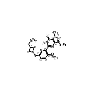 CCCc1nn(C)c2c(=O)[nH]c(-c3cc(SN4CC(CN)C4)ccc3OCC)nc12